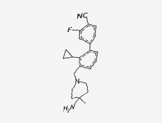 CC1(N)CCN(Cc2cccc(-c3ccc(C#N)c(F)c3)c2C2CC2)CC1